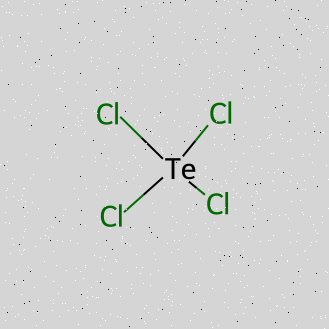 Cl[Te](Cl)(Cl)Cl